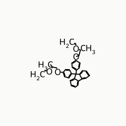 C=COC(C)COc1ccc(C2(c3ccc(OCC(C)OC=C)cc3)c3ccccc3-c3ccccc32)cc1